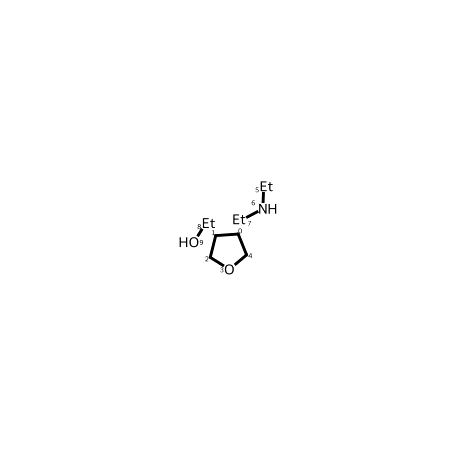 C1CCOC1.CCNCC.CCO